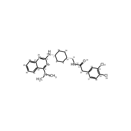 CN(C)c1nc(N[C@H]2CC[C@@H](CNC(=O)Cc3ccc(Cl)c(Cl)c3)CC2)nc2ccccc12